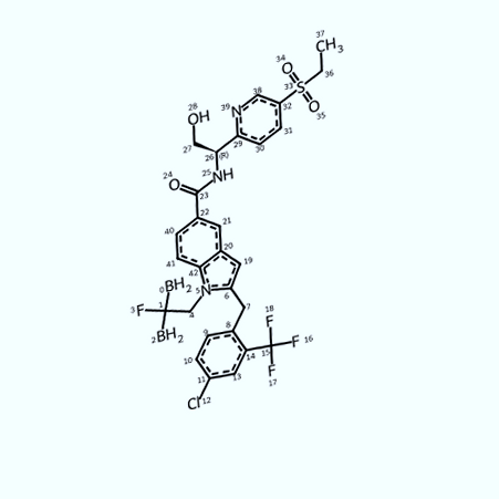 BC(B)(F)Cn1c(Cc2ccc(Cl)cc2C(F)(F)F)cc2cc(C(=O)N[C@@H](CO)c3ccc(S(=O)(=O)CC)cn3)ccc21